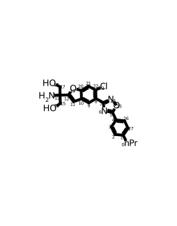 CCCc1ccc(-c2nc(-c3cc4cc(C(N)(CO)CO)oc4cc3Cl)no2)cc1